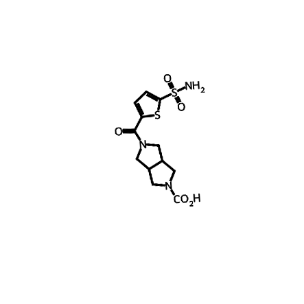 NS(=O)(=O)c1ccc(C(=O)N2CC3CN(C(=O)O)CC3C2)s1